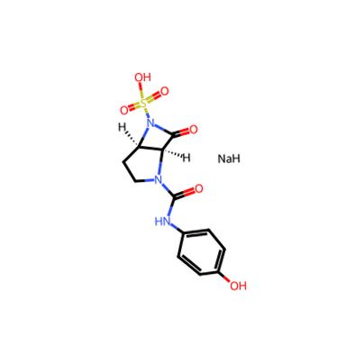 O=C(Nc1ccc(O)cc1)N1CC[C@@H]2[C@H]1C(=O)N2S(=O)(=O)O.[NaH]